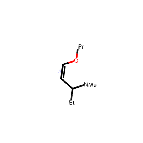 CCC(/C=C\OC(C)C)NC